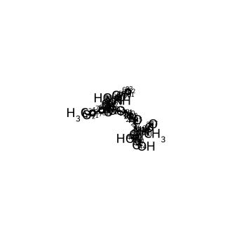 COc1ccc(-c2ccc(S(=O)(=O)N(OCCOCCN3CCN(C(=O)CCCN(CCN(C)COC=O)CCN(CC(=O)O)CC(=O)O)CC3)[C@H](CCNC(=O)OCc3ccccc3)C(=O)NO)cc2)cc1